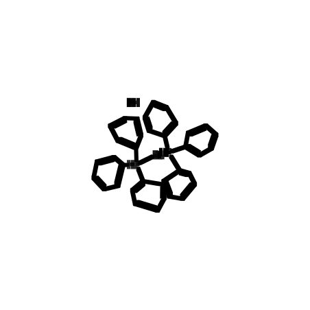 [KH].c1ccc([PH]([Ru][PH](c2ccccc2)(c2ccccc2)c2ccccc2)(c2ccccc2)c2ccccc2)cc1